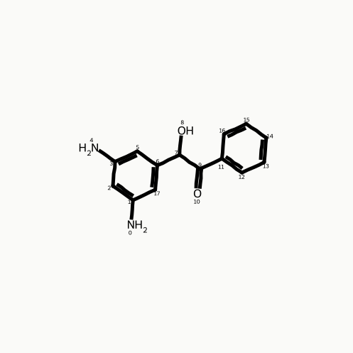 Nc1cc(N)cc(C(O)C(=O)c2ccccc2)c1